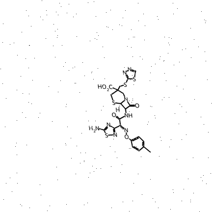 Cc1ccc(ON=C(C(=O)NC2C(=O)N3CC(CSc4nncs4)(C(=O)O)CS[C@H]23)c2nsc(N)n2)cc1